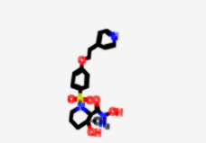 C[C@]1(O)CCCN(S(=O)(=O)c2ccc(OCCc3ccncc3)cc2)[C@H]1C(=O)NO